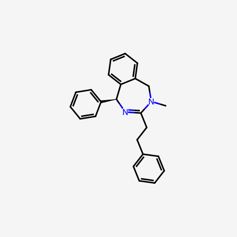 CN1Cc2ccccc2[C@H](c2ccccc2)N=C1CCc1ccccc1